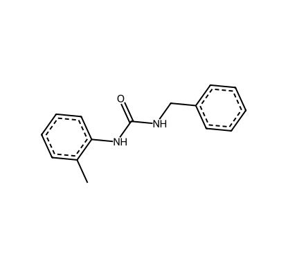 Cc1ccccc1NC(=O)NCc1ccccc1